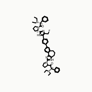 CCN(CC)[C@@H](C(=O)C1CCCN1c1nc2c([nH]1)CCCc1cc(-c3ccc(-c4[nH]c([C@@H]5CCCN5C(=O)[C@@H](c5ccccc5)N(CC)CC)nc4CF)cc3)ccc1-2)c1ccccc1